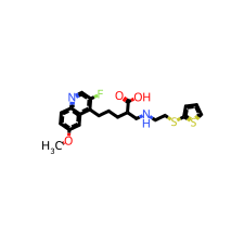 COc1ccc2ncc(F)c(CCCC(CNCCSc3cccs3)C(=O)O)c2c1